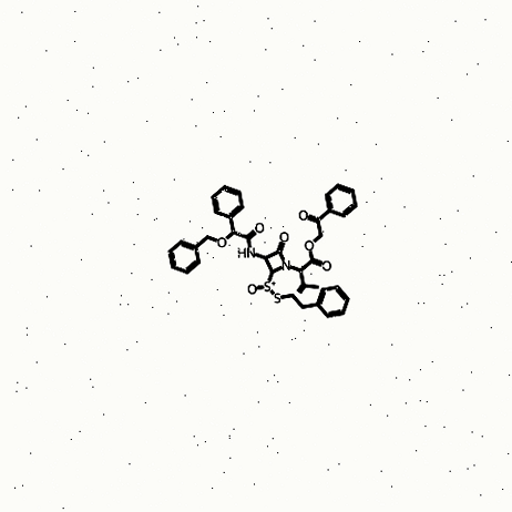 C=C(C)C(C(=O)OCC(=O)c1ccccc1)N1C(=O)C(NC(=O)C(OCc2ccccc2)c2ccccc2)C1[S+]([O-])SCCc1ccccc1